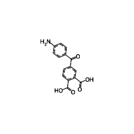 Nc1ccc(C(=O)c2ccc(C(=O)O)c(C(=O)O)c2)cc1